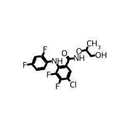 CC(CO)ONC(=O)c1cc(Cl)c(F)c(F)c1Nc1ccc(F)cc1F